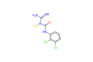 N=C(N)N(S)C(=O)Nc1cccc(Cl)c1Cl